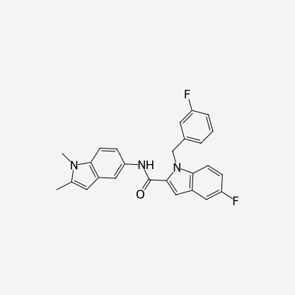 Cc1cc2cc(NC(=O)c3cc4cc(F)ccc4n3Cc3cccc(F)c3)ccc2n1C